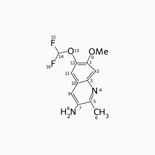 COc1cc2nc(C)c(N)cc2cc1OC(F)F